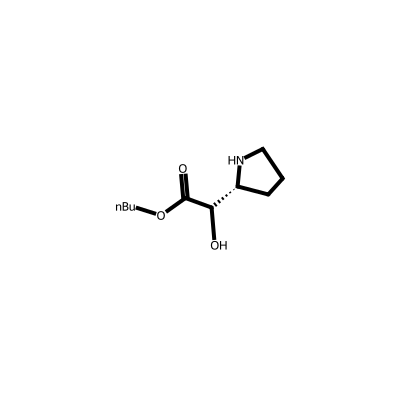 CCCCOC(=O)C(O)[C@H]1CCCN1